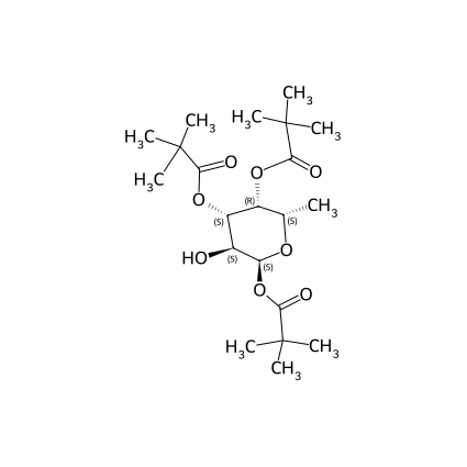 C[C@@H]1O[C@@H](OC(=O)C(C)(C)C)[C@@H](O)[C@H](OC(=O)C(C)(C)C)[C@@H]1OC(=O)C(C)(C)C